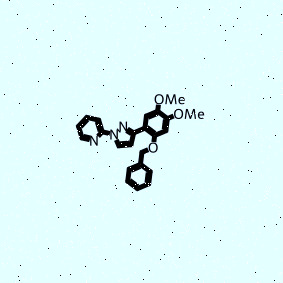 COc1cc(OCc2ccccc2)c(-c2ccn(-c3ccccn3)n2)cc1OC